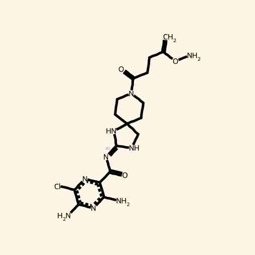 C=C(CCC(=O)N1CCC2(CC1)CN/C(=N\C(=O)c1nc(Cl)c(N)nc1N)N2)ON